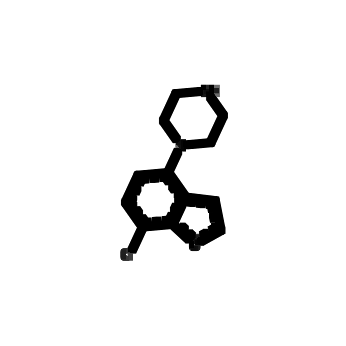 Clc1ccc(N2CCNCC2)c2ccoc12